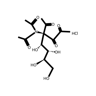 CC(=O)C(=O)[C@@](C(C)=O)([C@@H](O)[C@H](O)[C@H](O)CO)N(C(C)=O)C(C)=O.Cl